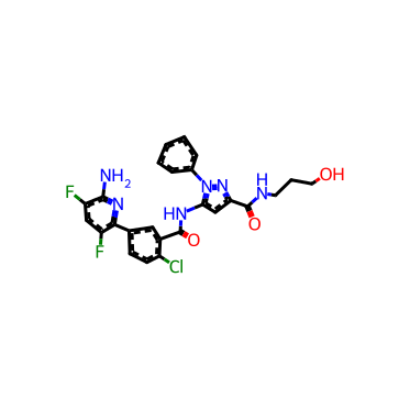 Nc1nc(-c2ccc(Cl)c(C(=O)Nc3cc(C(=O)NCCCO)nn3-c3ccccc3)c2)c(F)cc1F